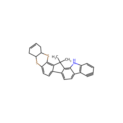 CC1(C)c2c(ccc3c2SC2CC=CCC2S3)-c2ccc3c([nH]c4ccc#cc43)c21